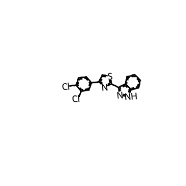 Clc1ccc(-c2csc(-c3n[nH]c4ccccc34)n2)cc1Cl